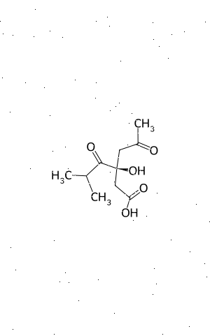 CC(=O)C[C@](O)(CC(=O)O)C(=O)C(C)C